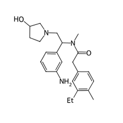 CCc1cc(CC(=O)N(C)C(CN2CCC(O)C2)c2cccc(N)c2)ccc1C